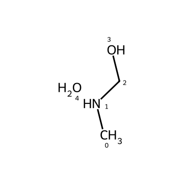 CNCO.O